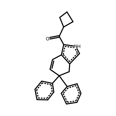 O=C(c1[nH]cc2c1C=CC(c1ccccc1)(c1ccccc1)C2)C1CCC1